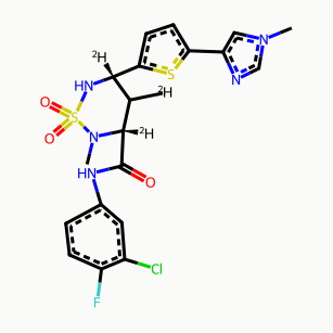 [2H]C1[C@]([2H])(C(=O)Nc2ccc(F)c(Cl)c2)N(C)S(=O)(=O)N[C@]1([2H])c1ccc(-c2cn(C)cn2)s1